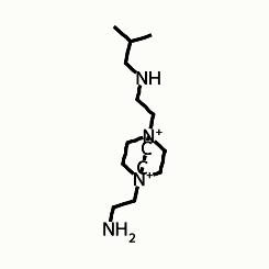 CC(C)CNCC[N+]12CC[N+](CCN)(CC1)CC2